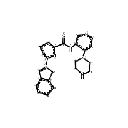 O=C(Nc1cnccc1N1CCNCC1)c1cccc(S2=Cc3ccccc3C2)n1